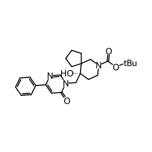 CC(C)(C)OC(=O)N1CC[C@@](O)(Cn2cnc(-c3ccccc3)cc2=O)C2(CCCC2)C1